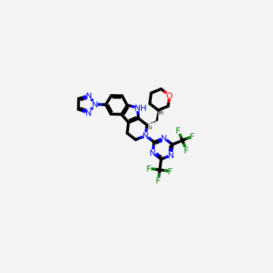 FC(F)(F)c1nc(N2CCc3c([nH]c4ccc(-n5nccn5)cc34)[C@@H]2C[C@H]2CCCOC2)nc(C(F)(F)F)n1